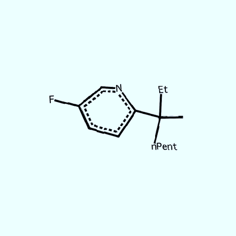 CCCCCC(C)(CC)c1ccc(F)cn1